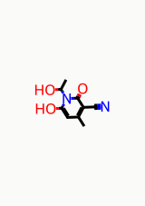 Cc1cc(O)n(C(C)O)c(=O)c1C#N